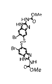 COC(=O)Nc1nc2cc(SSc3cc4nc(NC(=O)OC)[nH]c4cc3Br)c(Br)cc2[nH]1